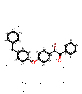 O=C(c1ccccc1)C(Br)c1ccc(Oc2ccc([CH]c3ccccc3)cc2)cc1